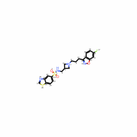 O=S(=O)(NCC1CN(CCCc2noc3cc(F)ccc23)C1)c1ccc2scnc2c1